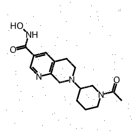 CC(=O)N1CCCC(N2CCc3cc(C(=O)NO)cnc3C2)C1